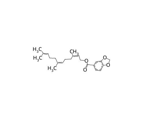 CC(C)=CCCC(C)=CCCC(C)=CCOC(=O)c1ccc2c(c1)OCO2